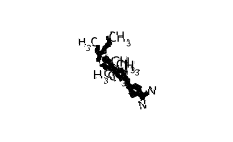 CCCCCC(CCC)CN1C=C(C)C(=c2c(C)cc(=CC=c3ccc(=C(C#N)C#N)cc3)cc2C)C(C)=C1